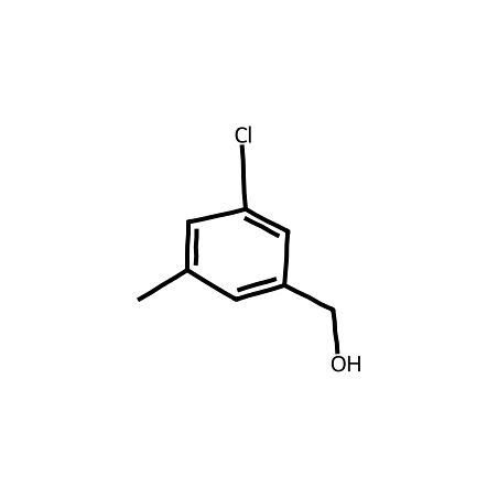 Cc1cc(Cl)cc(CO)c1